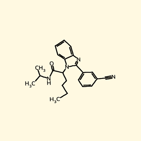 CCCCC(C(=O)NC(C)C)n1c(-c2cccc(C#N)c2)nc2ccccc21